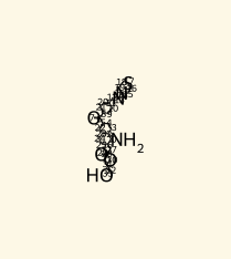 NC1c2ccc(C(=O)c3ccc(C=NN4CCSCC4)cc3)cc2CCC1CC(=O)OCCO